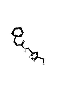 O=C(/C=C\c1ccccc1)NCc1cc(CCl)no1